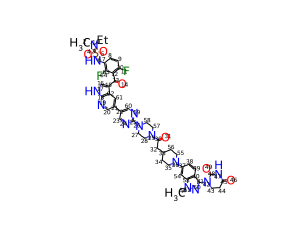 CCN(C)S(=O)(=O)Nc1ccc(F)c(C(=O)c2c[nH]c3ncc(-c4cnc(N5CCN(C(=O)CC6CCN(c7ccc8c(N9CCC(=O)NC9=O)nn(C)c8c7)CC6)CC5)nc4)cc23)c1F